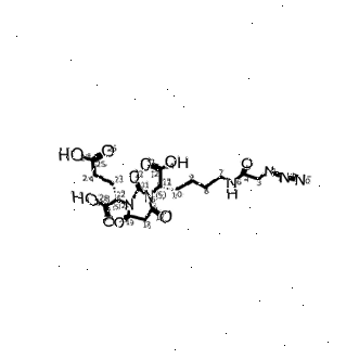 [N-]=[N+]=NCC(=O)NCCCC[C@@H](C(=O)O)N1C(=O)CC(=O)N([C@@H](CCC(=O)O)C(=O)O)C1=O